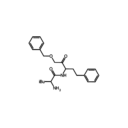 CCC(C)C(N)C(=O)NC(CCc1ccccc1)C(=O)COCc1ccccc1